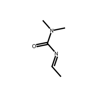 CC=NC(=O)N(C)C